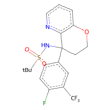 CC(C)(C)S(=O)(=O)NC1(c2ccc(F)c(C(F)(F)F)c2)CCOc2cccnc21